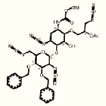 CC(=O)O[C@H](CN=[N+]=[N-])COC1[C@@H](O)C(O[C@H]2OC(CN=[N+]=[N-])[C@@H](OCc3ccccc3)[C@H](OCc3ccccc3)C2N=[N+]=[N-])C(N=[N+]=[N-])C[C@H]1NC(=O)OC(C)(C)C